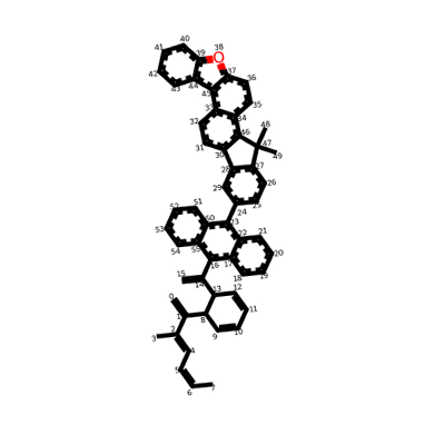 C=C(/C(C)=C/C=C\C)C1C=CC=CC1C(=C)c1c2ccccc2c(-c2ccc3c(c2)-c2ccc4c(ccc5oc6ccccc6c54)c2C3(C)C)c2ccccc12